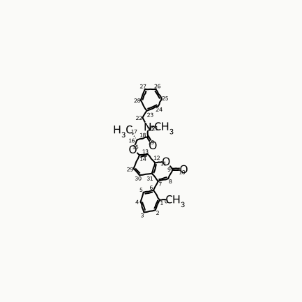 Cc1ccccc1-c1cc(=O)oc2cc(O[C@H](C)C(=O)N(C)Cc3ccccc3)ccc12